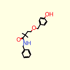 CC(C)(CCOCc1ccc(O)cc1)C(=O)NCc1ccccc1